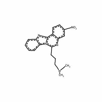 CN(C)CCCc1nc2cc([N+](=O)[O-])ccc2c2nc3ccccc3n12